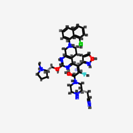 CN1CCC[C@H]1COc1nc2c(c(/C(=C(/F)C(=O)N3CCN[C@@H](CC#N)C3)c3ccon3)n1)CCN(c1cccc3cccc(Cl)c13)C2